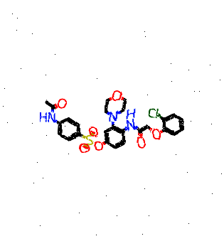 CC(=O)Nc1ccc(S(=O)(=O)Oc2ccc(NC(=O)COc3ccccc3Cl)c(N3CCOCC3)c2)cc1